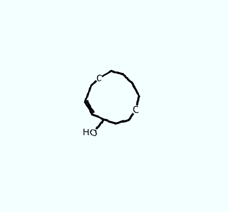 OC1C=CCCCCCCCCC1